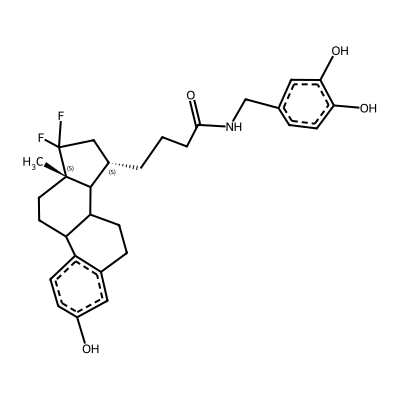 C[C@]12CCC3c4ccc(O)cc4CCC3C1[C@@H](CCCC(=O)NCc1ccc(O)c(O)c1)CC2(F)F